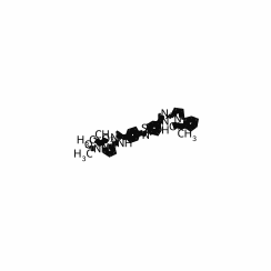 CC(=O)N[C@H](C(=O)N1CCC[C@H]1c1ncc(-c2ccc(-c3nc4ccc(-c5cnc([C@@H]6CCCN6C(=O)[C@H](C)c6ccccc6)[nH]5)cc4s3)cc2)[nH]1)C(C)C